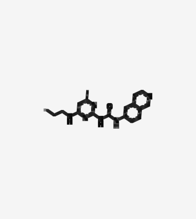 [CH2]CCNc1cc(C)nc(NC(=O)Nc2ccc3cnccc3c2)n1